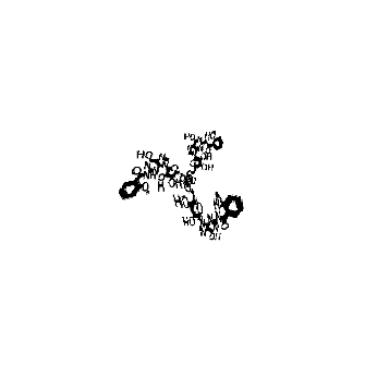 COc1ccccc1C(=O)Nc1nc(O)c2ncn([C@@H]3O[C@H](COP(=O)(OC[C@H]4O[C@@H](n5cnc6c(O)nc(NC(=O)c7ccccc7OC)nc65)[C@H](O)[C@@H]4O)OC[C@H]4O[C@@H](n5cnc6c(O)nc(NC(=O)c7ccccc7OC)nc65)[C@H](O)[C@@H]4O)[C@@H](O)[C@H]3O)c2n1